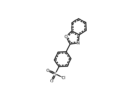 O=S(=O)(Cl)c1ccc(-c2nc3ccccc3o2)cc1